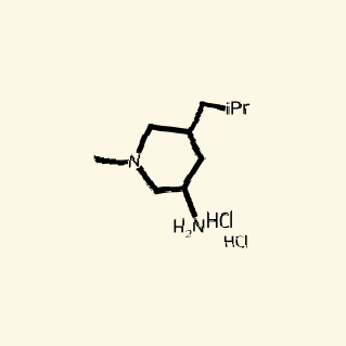 CC(C)CC1CC(N)CN(C)C1.Cl.Cl